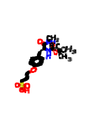 CNC(=O)[C@@H](Cc1ccc(OCCCS(=O)(=O)O)cc1)NC(=O)OC(C)(C)C